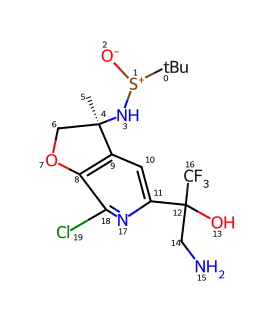 CC(C)(C)[S+]([O-])N[C@]1(C)COc2c1cc(C(O)(CN)C(F)(F)F)nc2Cl